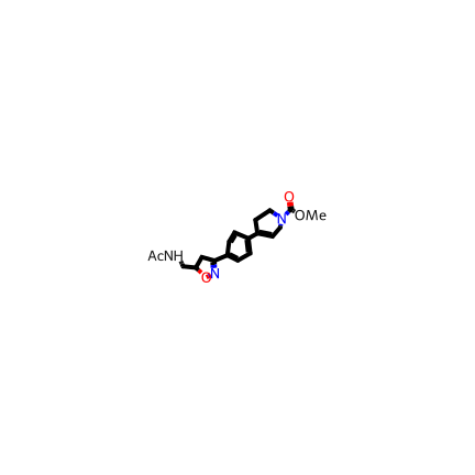 COC(=O)N1CC=C(c2ccc(C3=NOC(CNC(C)=O)C3)cc2)CC1